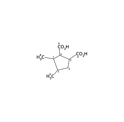 CC1CC(C(=O)O)C(C(=O)O)C1C